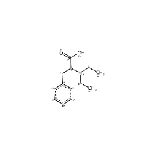 CCN(CC)C(Cc1ccccc1)C(=O)O